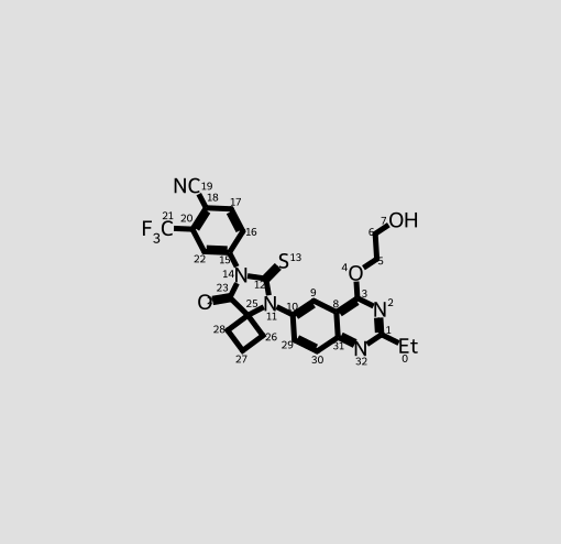 CCc1nc(OCCO)c2cc(N3C(=S)N(c4ccc(C#N)c(C(F)(F)F)c4)C(=O)C34CCC4)ccc2n1